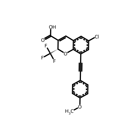 COc1ccc(C#Cc2cc(Cl)cc3c2O[C@H](C(F)(F)F)C(C(=O)O)=C3)cc1